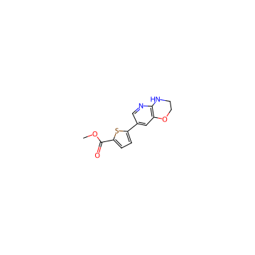 COC(=O)c1ccc(-c2cnc3c(c2)OCCN3)s1